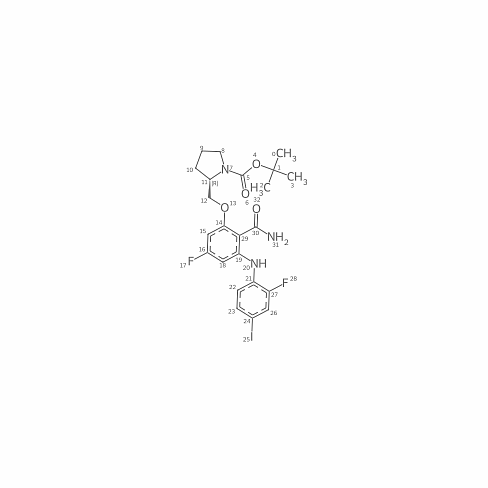 CC(C)(C)OC(=O)N1CCC[C@@H]1COc1cc(F)cc(Nc2ccc(I)cc2F)c1C(N)=O